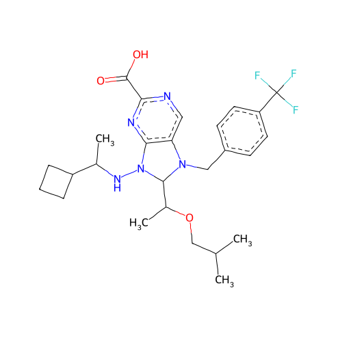 CC(C)COC(C)C1N(Cc2ccc(C(F)(F)F)cc2)c2cnc(C(=O)O)nc2N1NC(C)C1CCC1